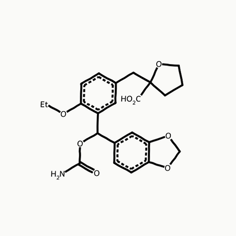 CCOc1ccc(CC2(C(=O)O)CCCO2)cc1C(OC(N)=O)c1ccc2c(c1)OCO2